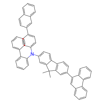 CC1(C)c2cc(-c3cc4ccccc4c4ccccc34)ccc2-c2ccc(N(c3ccc(-c4ccc5ccccc5c4)cc3)c3ccccc3-c3ccccc3)cc21